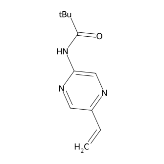 C=Cc1cnc(NC(=O)C(C)(C)C)cn1